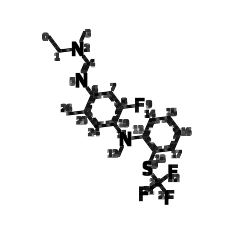 CCN(C)C=Nc1cc(F)c(N(C)c2ccccc2SC(F)(F)F)cc1C